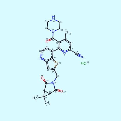 Cc1cc(C#N)nc(-c2ccnc3cc(CN4C(=O)C5C(C4=O)C5(C)C)sc23)c1C(=O)N1CCNCC1.Cl